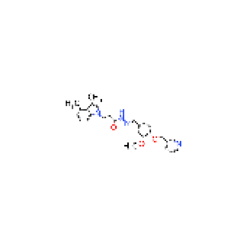 COc1cc(/C=N/NC(=O)CCn2cc(C)c3c(C)cccc32)ccc1OCc1cccnc1